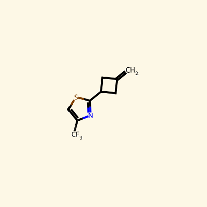 C=C1CC(c2nc(C(F)(F)F)cs2)C1